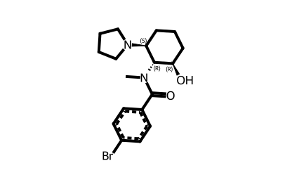 CN(C(=O)c1ccc(Br)cc1)[C@H]1[C@H](O)CCC[C@@H]1N1CCCC1